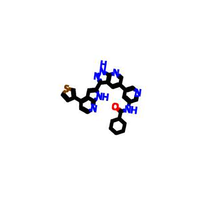 O=C(Nc1cncc(-c2cnc3[nH]nc(-c4cc5c(-c6ccsc6)ccnc5[nH]4)c3c2)c1)C1CCCCC1